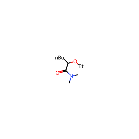 CCCCC(OCC)C(=O)N(C)C